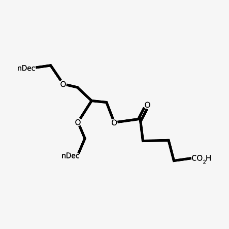 CCCCCCCCCCCOCC(COC(=O)CCCC(=O)O)OCCCCCCCCCCC